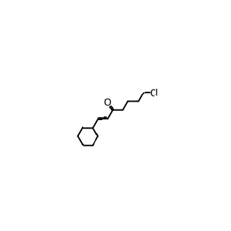 O=C(C=CC1CCCCC1)CCCCCl